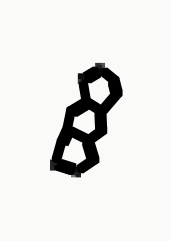 c1cc2cc3cnncc3cc2nn1